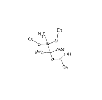 CCO[Si](C)(OCC)C(OC)(OC)OP(O)O